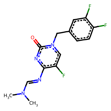 CN(C)/C=N/c1nc(=O)n(Cc2ccc(F)c(F)c2)cc1F